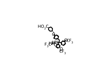 O=C(NCC(F)(F)F)NC(Cc1ccc(OC[C@H]2CC[C@@H](C(=O)O)CC2)cc1)(c1cccc(OC(F)(F)F)c1)c1cccc(OC(F)(F)F)c1